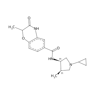 CC1Oc2ccc(C(=O)N[C@H]3CN(C4CC4)C[C@H]3C)cc2NC1=O